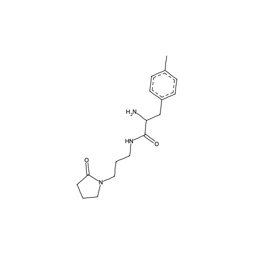 Cc1ccc(CC(N)C(=O)NCCCN2CCCC2=O)cc1